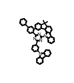 CC1(C)c2ccccc2-c2c1ccc1c3ccccc3n(-c3nc(-c4ccc(-c5ccccc5)cc4)nc(-c4cccc(-n5c6ccccc6c6ccccc65)c4)n3)c21